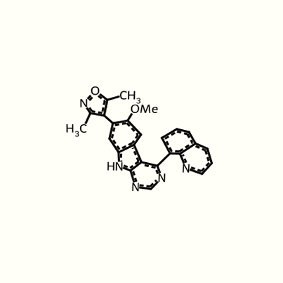 COc1cc2c(cc1-c1c(C)noc1C)[nH]c1ncnc(-c3cccc4cccnc34)c12